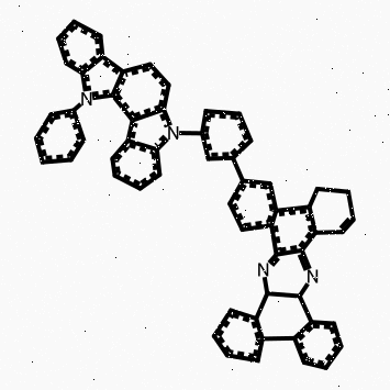 C1=Cc2c(c3cc(-c4cccc(-n5c6ccccc6c6c5ccc5c7ccccc7n(-c7ccccc7)c56)c4)ccc3c3c2=NC2c4ccccc4-c4ccccc4C2N=3)CC1